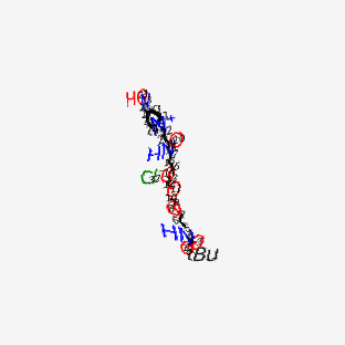 CC(C)(C)OC(=O)NCCCOCCOCCOCCCNC(=O)CC[n+]1ccc(/C=N/O)cc1.[Cl-]